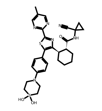 Cc1cnc(-c2nc([C@@H]3CCCC[C@H]3C(=O)NC3(C#N)CC3)c(-c3ccc(N4CCS(O)(O)CC4)cc3)s2)nc1